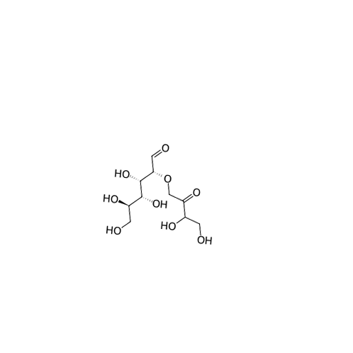 O=C[C@H](OCC(=O)C(O)CO)[C@@H](O)[C@H](O)[C@H](O)CO